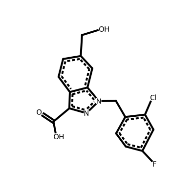 O=C(O)c1nn(Cc2ccc(F)cc2Cl)c2cc(CO)ccc12